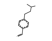 [CH]=Cc1ccc(CCC(C)C)cc1